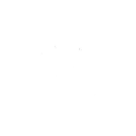 CCCCOC(=O)/C(=C/NC1CC1)C(=O)c1c(F)c(C)c(F)c(F)c1[N+](=O)[O-]